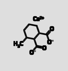 CC1CCCC(C(=O)[O-])C1C(=O)[O-].[Ca+2]